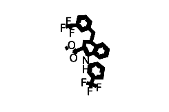 COC(=O)C1=C(Nc2cccc(C(F)(F)F)c2)c2ccccc2C(Cc2cccc(C(F)(F)F)c2)C1